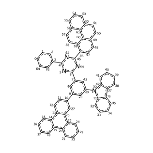 c1ccc(-c2nc(-c3cc(-c4ccc5c6ccccc6c6ccccc6c5c4)cc(-n4c5ccccc5c5ccccc54)c3)nc(-c3ccc4ccc5cccc6ccc3c4c56)n2)cc1